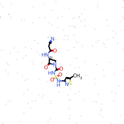 Cc1cc(NS(=O)(=O)NC(=O)N2C[C@H](NC(=O)CC#N)C2=O)ns1